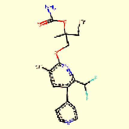 CC(C)CC(C)(COc1nc(C(F)F)c(-c2ccncc2)cc1C#N)OC(N)=O